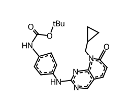 CC(C)(C)OC(=O)Nc1ccc(Nc2ncc3ccc(=O)n(CC4CC4)c3n2)cc1